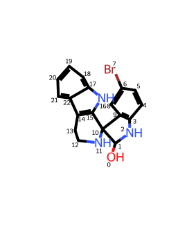 OC1Nc2ccc(Br)cc2C12NCCc1c2[nH]c2ccccc12